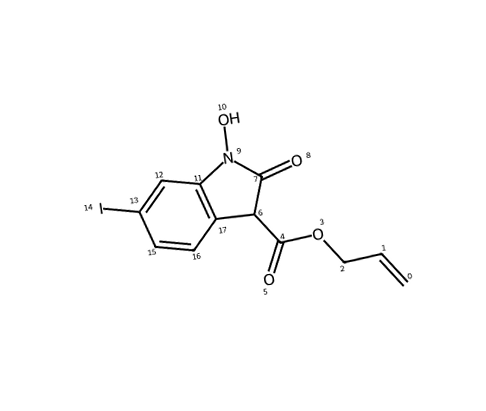 C=CCOC(=O)C1C(=O)N(O)c2cc(I)ccc21